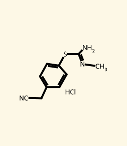 CN=C(N)Sc1ccc(CC#N)cc1.Cl